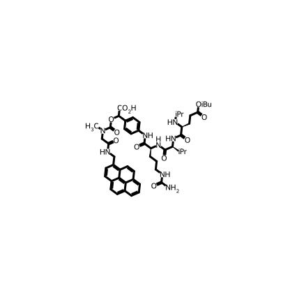 CC(C)COC(=O)CC[C@H](NC(C)C)C(=O)N[C@H](C(=O)N[C@@H](CCCNC(N)=O)C(=O)Nc1ccc(C(OC(=O)N(C)CC(=O)NCc2ccc3ccc4cccc5ccc2c3c45)C(=O)O)cc1)C(C)C